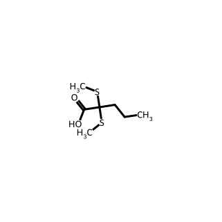 CCCC(SC)(SC)C(=O)O